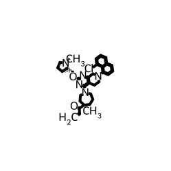 C=CC(=O)C1(C)CCCN(c2nc(OC[C@@H]3CCCN3C)nc3c2CCN(c2cccc4cccc(Cl)c24)C3)CC1